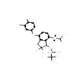 CC(C)(C)[Si](C)(C)OC1c2c(S(=O)(=O)C(F)F)ccc(Oc3ccc(F)c(Cl)c3)c2CC1(F)F